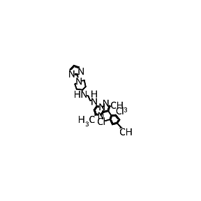 C#Cc1cc(Cl)c(-c2c(C)nn3c(NCCNC4CCN(c5ncccn5)CC4)cc(C)nc23)c(Cl)c1